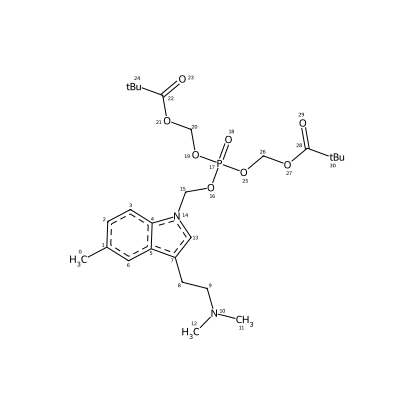 Cc1ccc2c(c1)c(CCN(C)C)cn2COP(=O)(OCOC(=O)C(C)(C)C)OCOC(=O)C(C)(C)C